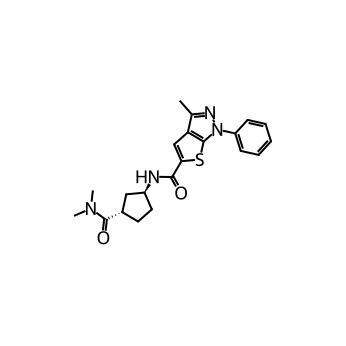 Cc1nn(-c2ccccc2)c2sc(C(=O)N[C@H]3CC[C@H](C(=O)N(C)C)C3)cc12